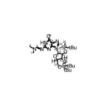 CN(C)/C=N/c1nc2c(ncn2[C@@H]2O[C@@H]3CO[Si](C(C)(C)C)(C(C)(C)C)O[C@@H]3C2O[Si](C)(C)C(C)(C)C)c(=O)[nH]1